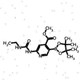 CCNC(=O)Nc1cc(C(=O)OC)c(B2OC(C)(C)C(C)(C)O2)cn1